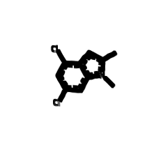 Cc1cc2c(Cl)cc(Cl)cc2n1C